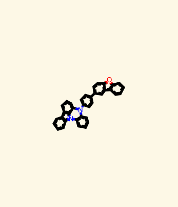 c1ccc2c(c1)N(c1ccc(-c3ccc4oc5ccccc5c4c3)cc1)c1cccc3c4ccccc4n-2c13